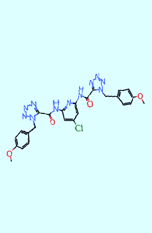 COc1ccc(Cn2nnnc2C(=O)Nc2cc(Cl)cc(NC(=O)c3nnnn3Cc3ccc(OC)cc3)n2)cc1